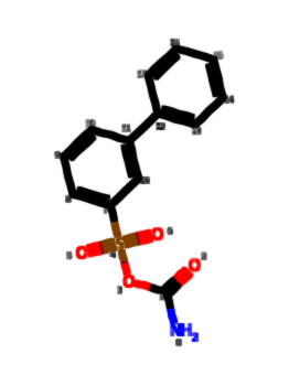 NC(=O)OS(=O)(=O)c1cccc(-c2ccccc2)c1